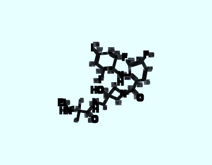 CCNC(C)(C)C(=O)NCC1(O)CN(C(=O)c2ccc(F)c(F)c2Nc2ccc(I)cc2F)C1